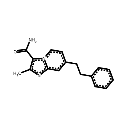 Cc1nc2cc(CCc3ccccc3)ccn2c1C(N)=O